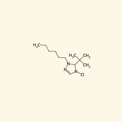 CCCCCCN1N=CN(Cl)C1C(C)(C)C